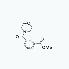 COC(=O)c1cccc(C(=O)N2CCOCC2)c1